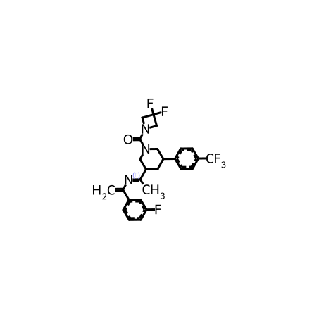 C=C(/N=C(\C)C1CC(c2ccc(C(F)(F)F)cc2)CN(C(=O)N2CC(F)(F)C2)C1)c1cccc(F)c1